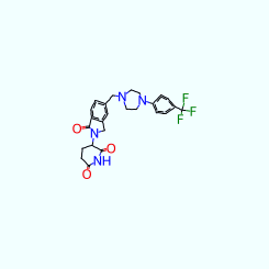 O=C1CCC(N2Cc3cc(CN4CCN(c5ccc(C(F)(F)F)cc5)CC4)ccc3C2=O)C(=O)N1